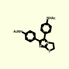 CC(=O)Nc1ccc(-c2nc3n(c2-c2ccc(NC(C)=O)cc2)CCS3)cc1